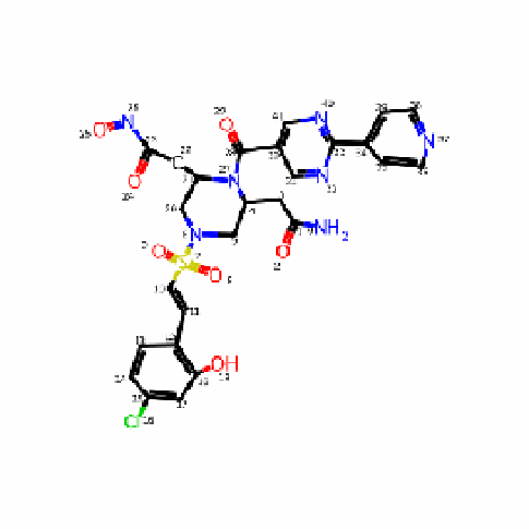 NC(=O)CC1CN(S(=O)(=O)C=Cc2ccc(Cl)cc2O)CC(CC(=O)N=O)N1C(=O)c1cnc(-c2ccncc2)nc1